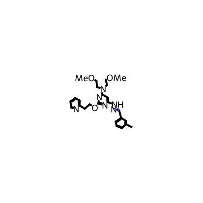 COCCN(CCOC)c1cc(N/N=C/c2cccc(C)c2)nc(OCCc2ccccn2)n1